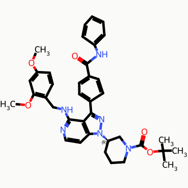 COc1ccc(CNc2nccc3c2c(-c2ccc(C(=O)Nc4ccccc4)cc2)nn3[C@@H]2CCCN(C(=O)OC(C)(C)C)C2)c(OC)c1